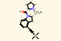 C[Si](C)(C)C#Cc1cccc2c1CCN2C(=O)[C@@H]1CCCN1C(=O)O